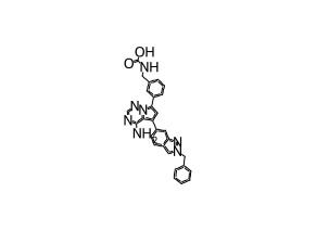 Nc1ncnn2c(-c3cccc(CNC(=O)O)c3)cc(-c3ccc4cn(Cc5ccccc5)nc4c3)c12